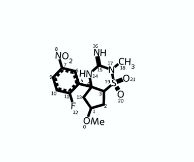 COC1CC2C(c3cc([N+](=O)[O-])ccc3F)(C1)NC(=N)N(C)S2(=O)=O